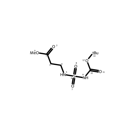 COC(=O)CCNS(=O)(=O)NC(=O)OC(C)(C)C